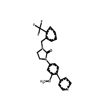 COc1cc(N2CCN(Cc3ccccc3C(F)(F)F)C2=O)ccc1-c1ccncc1